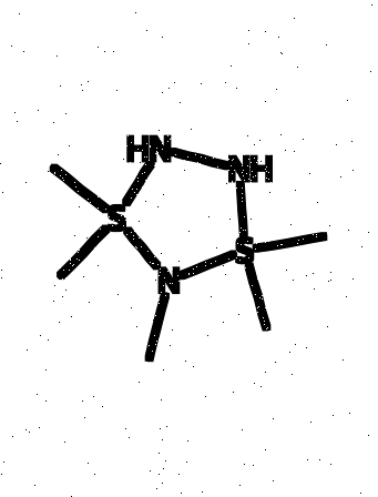 CN1S(C)(C)NNS1(C)C